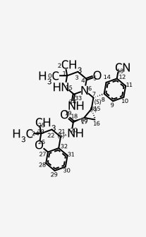 CC1(C)CC(=O)N([C@H](c2cccc(C#N)c2)[C@@H]2C[C@H]2C(=O)N[C@H]2CC(C)(C)Oc3ccccc32)C(=N)N1